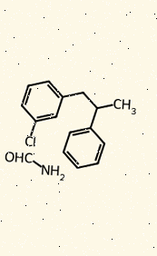 CC(Cc1cccc(Cl)c1)c1ccccc1.NC=O